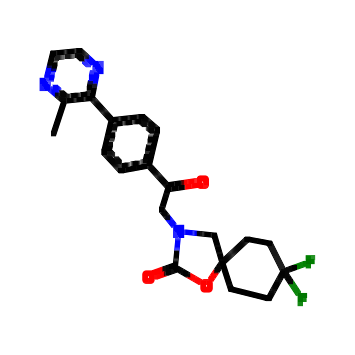 Cc1nccnc1-c1ccc(C(=O)CN2CC3(CCC(F)(F)CC3)OC2=O)cc1